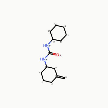 C=C1CCCC(NC(=O)NC2CCCCC2)C1